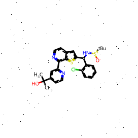 CC(C)(C)[S+]([O-])NC(c1cc2ccnc(-c3cc(C(C)(O)C(F)(F)F)ccn3)c2s1)c1ccccc1Cl